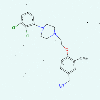 COc1cc(CN)ccc1OCCN1CCN(c2cccc(Cl)c2Cl)CC1